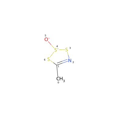 CC1=NS[S+]([O-])S1